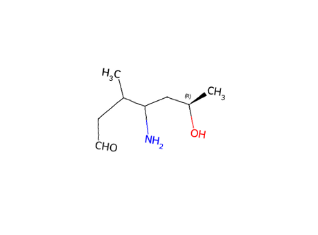 CC(CC=O)C(N)C[C@@H](C)O